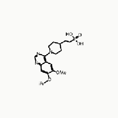 COc1cc2c(N3CCC(CCP(=O)(O)O)CC3)ncnc2cc1OC(C)C